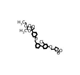 CCOC(=O)C(C)OC1(c2ccc(OCc3cccc(-c4ccc(OCC5CCS(=O)(=O)C5)cc4Cl)c3)cc2)COC1